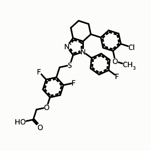 COc1cc(C2CCCc3nc(SCc4c(F)cc(OCC(=O)O)cc4F)n(-c4ccc(F)cc4)c32)ccc1Cl